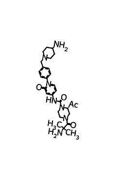 CC(=O)[C@@H]1CN(C(=O)C(C)(C)N)CCN1C(=O)Nc1ccn(-c2ccc(CN3CCC(N)CC3)cc2)c(=O)c1